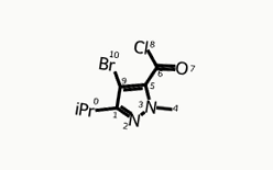 CC(C)c1nn(C)c(C(=O)Cl)c1Br